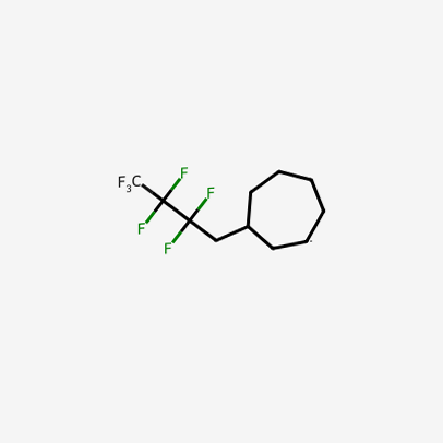 FC(F)(F)C(F)(F)C(F)(F)CC1C[CH]CCCC1